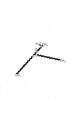 CCCCCCCCC=CCCCCCCCCOCC(COC(=O)CCCN(CC)CC)OCCCCCCCCC=CCCCCCCCC